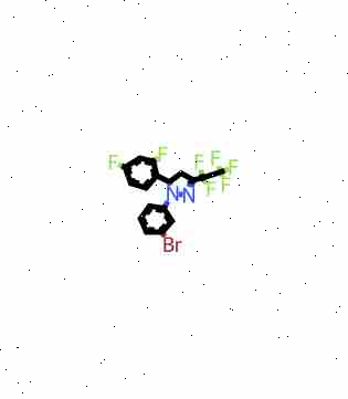 Fc1ccc(C2CC(C(F)(F)C(F)(F)F)=NN2c2cccc(Br)c2)c(F)c1